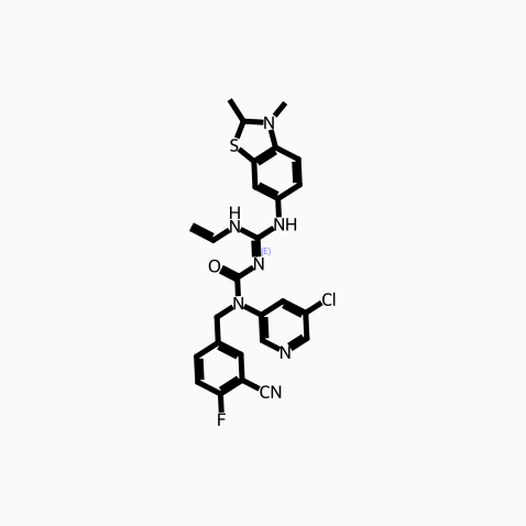 C=CN/C(=N\C(=O)N(Cc1ccc(F)c(C#N)c1)c1cncc(Cl)c1)Nc1ccc2c(c1)SC(C)N2C